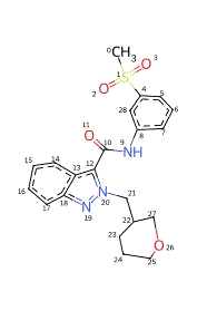 CS(=O)(=O)c1cccc(NC(=O)c2c3ccccc3nn2CC2CCCOC2)c1